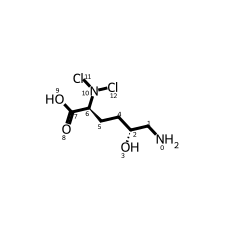 NC[C@H](O)CC[C@@H](C(=O)O)N(Cl)Cl